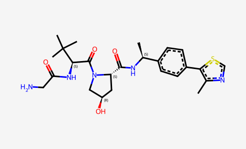 Cc1ncsc1-c1ccc([C@H](C)NC(=O)[C@@H]2C[C@@H](O)CN2C(=O)[C@@H](NC(=O)CN)C(C)(C)C)cc1